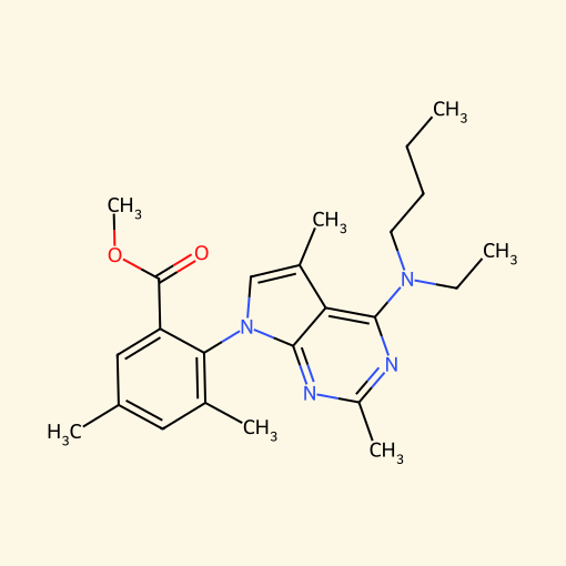 CCCCN(CC)c1nc(C)nc2c1c(C)cn2-c1c(C)cc(C)cc1C(=O)OC